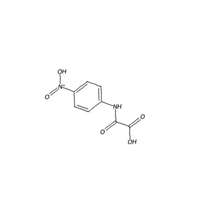 O=C(O)C(=O)Nc1ccc([N+](=O)O)cc1